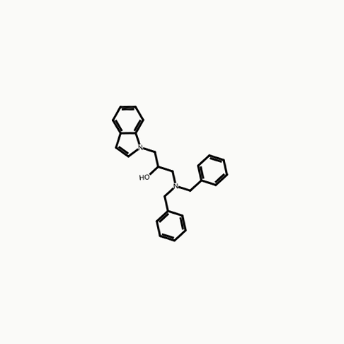 OC(CN(Cc1ccccc1)Cc1ccccc1)Cn1ccc2ccccc21